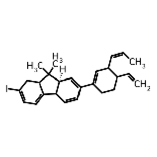 C=CC1CCC(C2=C[C@H]3C(C=C2)C2=CC=C(I)CC2C3(C)C)=CC1/C=C\C